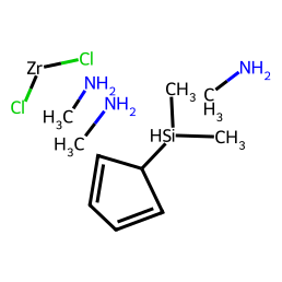 CN.CN.CN.C[SiH](C)C1C=CC=C1.[Cl][Zr][Cl]